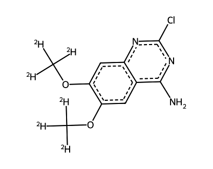 [2H]C([2H])([2H])Oc1cc2nc(Cl)nc(N)c2cc1OC([2H])([2H])[2H]